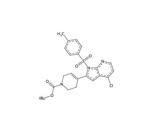 Cc1ccc(S(=O)(=O)n2c(C3=CCN(C(=O)OC(C)(C)C)CC3)cc3c(Cl)ccnc32)cc1